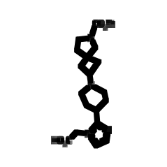 CCOC(=O)N1CCC2(CC(N3CCC(c4nccn4CC(=O)O)CC3)C2)C1